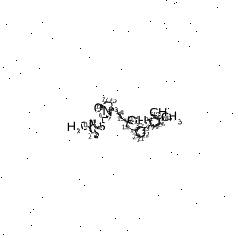 Cc1csc(SCCN2C(=O)CC[C@@H]2/C=C/[C@@H](O)Cc2cccc(-c3ccc(C)c(C)c3)c2)n1